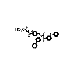 O=C(NCC(F)C(=O)O)c1ccc(CN(C(=O)Nc2cccc(Oc3ccccc3)c2)c2ccc(C3CCCCC3)cc2)cc1